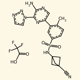 Cc1ccc(S(=O)(=O)NC23CC(C#N)(C2)C3)cc1-c1cnc(N)c(-n2ccnn2)n1.O=C(O)C(F)(F)F